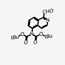 CC(C)(C)OC(=O)N(C(=O)OC(C)(C)C)c1cccc2c(C=O)nccc12